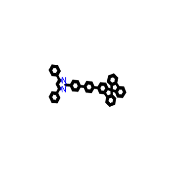 c1ccc(-c2cc(-c3ccccc3)nc(-c3ccc(-c4ccc(-c5ccc6c(c5)-c5ccccc5C65c6ccccc6-c6ccccc65)cc4)cc3)n2)cc1